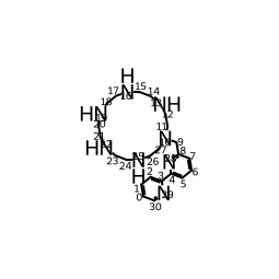 c1ccc(-c2cccc(CN3CCNCCNCCNCCNCCNCC3)n2)nc1